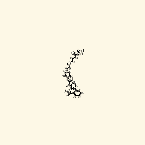 C[C@@H](Nc1ncnc2[nH]c(CN3CCN(CCOCCCC(=O)NO)CC3)cc12)c1ccccc1